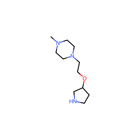 CN1CCN(CCOC2CCNC2)CC1